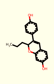 CCCC1Oc2cc(O)ccc2C=C1c1ccc(O)cc1